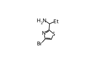 CCC(N)c1nc(Br)cs1